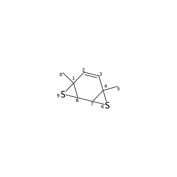 CC12C=CC3(C)SC3C1S2